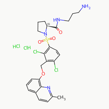 Cc1ccc2cccc(OCc3c(Cl)ccc(S(=O)(=O)N4CCC[C@H]4C(=O)NCCCN)c3Cl)c2n1.Cl.Cl